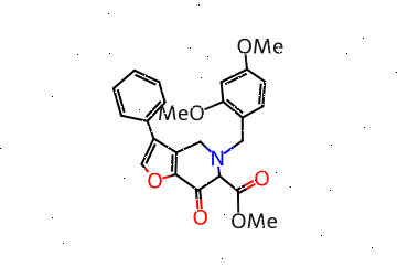 COC(=O)C1C(=O)c2occ(-c3ccccc3)c2CN1Cc1ccc(OC)cc1OC